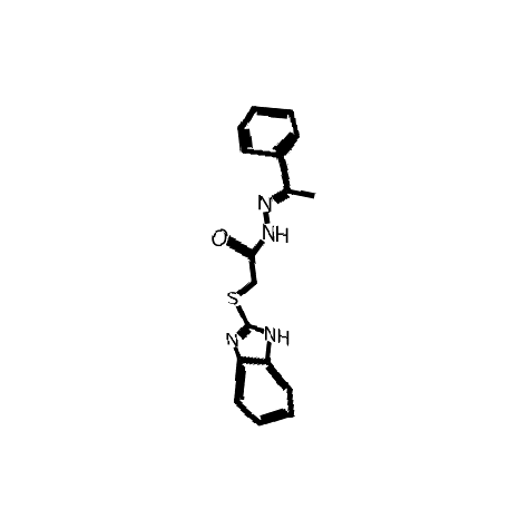 C/C(=N\NC(=O)CSc1nc2ccccc2[nH]1)c1ccccc1